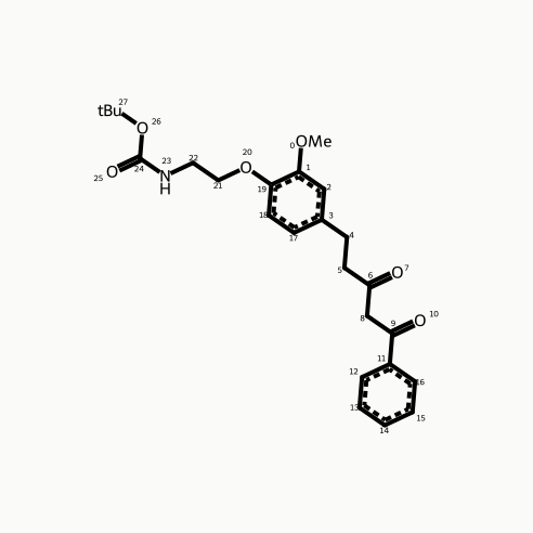 COc1cc(CCC(=O)CC(=O)c2ccccc2)ccc1OCCNC(=O)OC(C)(C)C